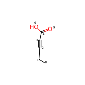 C[CH]C#CC(=O)O